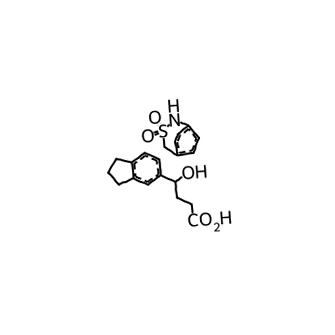 O=C(O)CCC(O)c1ccc2c(c1)CCC2.O=S1(=O)Cc2ccc(cc2)N1